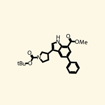 COC(=O)c1cc(-c2ccccc2)cc2c(C3CCN(C(=O)OC(C)(C)C)C3)c[nH]c12